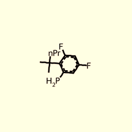 CCCC(C)(C)c1c(F)cc(F)cc1P